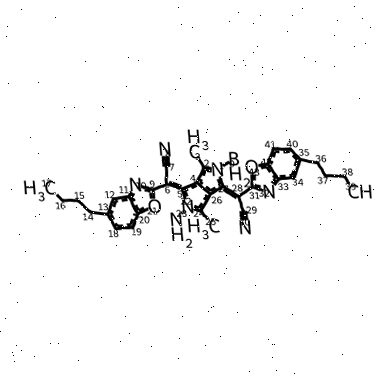 Bn1c(C)c2/c(=C(\C#N)c3nc4cc(CCCC)ccc4o3)n(N)c(C)c2/c1=C(\C#N)c1nc2cc(CCCC)ccc2o1